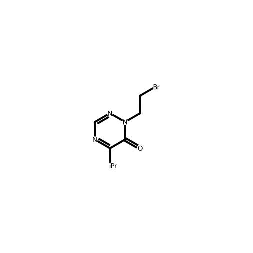 CC(C)c1ncnn(CCBr)c1=O